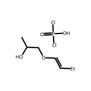 CCC=COCC(C)O.O=P(O)(Cl)Cl